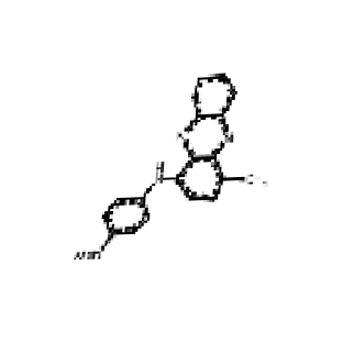 CNc1ccc(Nc2ccc(C)c3nc4ccccc4nc23)cc1